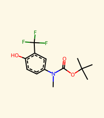 CN(C(=O)OC(C)(C)C)c1ccc(O)c(C(F)(F)F)c1